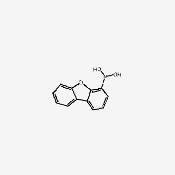 ON(O)c1cccc2c1oc1ccccc12